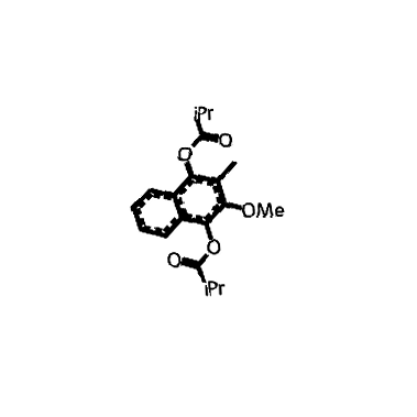 COc1c(C)c(OC(=O)C(C)C)c2ccccc2c1OC(=O)C(C)C